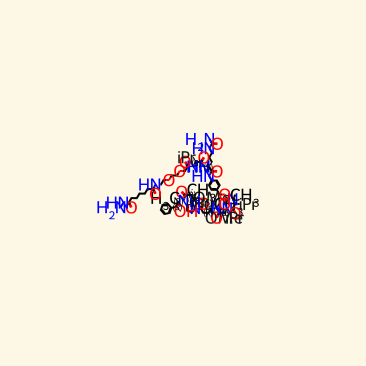 CC[C@H](C)[C@@H]([C@@H](CC(=O)N1CCC[C@H]1[C@H](OC)[C@@H](C)C(=O)N[C@H](C)[C@@H](O)c1ccccc1)OC)N(C)C(=O)[C@@H](NC(=O)C(C(C)C)N(C)C(=O)OCc1ccc(NC(=O)[C@H](CCCNC(N)=O)NC(=O)[C@@H](NC(=O)COCCOCCNC(=O)CCCCCC(=O)NN)C(C)C)cc1)C(C)C